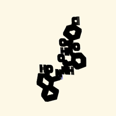 O=C(N/N=C/c1c(O)ccc2ccccc12)c1ccccc1NS(=O)(=O)c1ccc(Cl)cc1